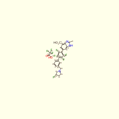 Cc1nc2c(C(=O)O)cc(-c3c(F)c(F)c(-c4cccc(CN5CCC(F)C5)c4)c(F)c3F)cc2[nH]1.O=C(O)C(F)(F)F